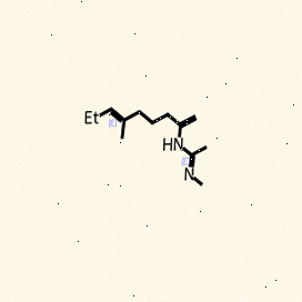 C=C(CCC/C(C)=C/CC)N/C(C)=N/C